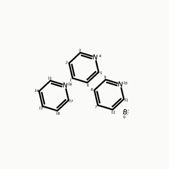 [B].c1ccncc1.c1ccncc1.c1ccncc1